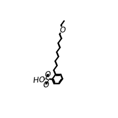 CCOCCCCCCCCCc1ccccc1S(=O)(=O)O